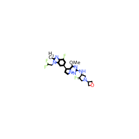 COc1nc(N[C@H]2CN(C3COC3)C[C@H]2F)nn2ccc(-c3cc(F)c4nc(C)n(CC(F)F)c4c3)c12